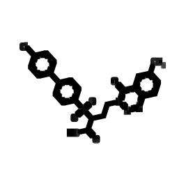 Cc1ccc2nnn(CCC(C(=O)O)S(=O)(=O)c3ccc(-c4ccc(Cl)cc4)cc3)c(=O)c2c1